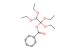 CCOC(OCC)C(OCC)(OCC)OC(=O)c1ccccc1